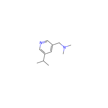 CC(C)c1cncc(CN(C)C)c1